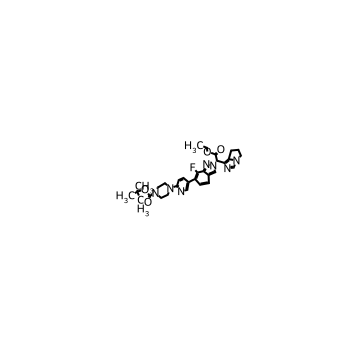 CCOC(=O)C(c1ncn2c1CCC2)n1cc2ccc(-c3ccc(N4CCN(C(=O)OC(C)(C)C)CC4)nc3)c(F)c2n1